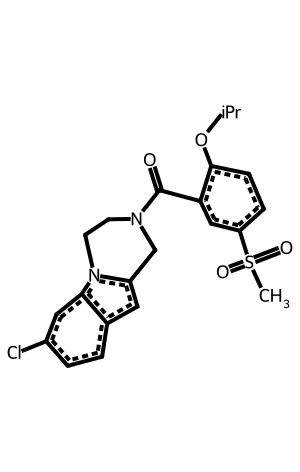 CC(C)Oc1ccc(S(C)(=O)=O)cc1C(=O)N1CCn2c(cc3ccc(Cl)cc32)C1